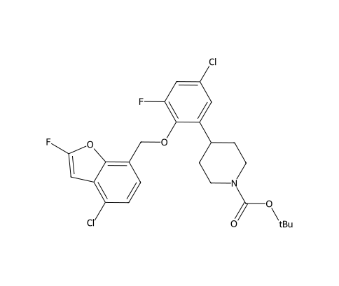 CC(C)(C)OC(=O)N1CCC(c2cc(Cl)cc(F)c2OCc2ccc(Cl)c3cc(F)oc23)CC1